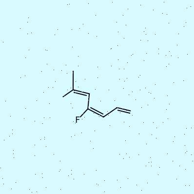 C=C/C=C(/F)C=C(C)C